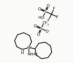 CC(=O)N[N+]1(C2CCCCCCC2)CCCCCCN1.O=S(=O)(O)C(F)(F)F.O=S(=O)([O-])C(F)(F)F